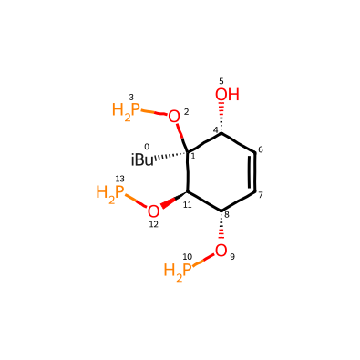 CCC(C)[C@]1(OP)[C@H](O)C=C[C@H](OP)[C@H]1OP